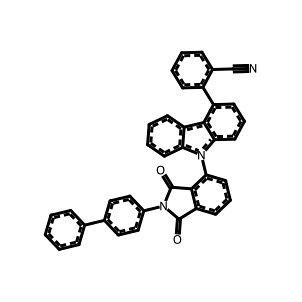 N#Cc1ccccc1-c1cccc2c1c1ccccc1n2-c1cccc2c1C(=O)N(c1ccc(-c3ccccc3)cc1)C2=O